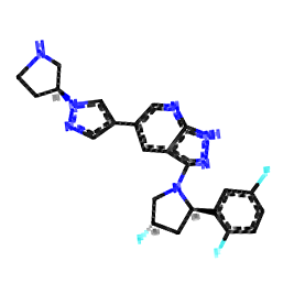 Fc1ccc(F)c([C@H]2C[C@H](F)CN2c2n[nH]c3ncc(-c4cnn([C@H]5CCNC5)c4)cc23)c1